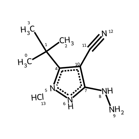 CC(C)(C)c1n[nH]c(NN)c1C#N.Cl